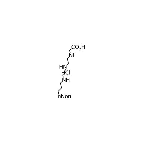 CCCCCCCCCCCCNCCNCCNCC(=O)O.Cl